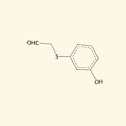 O=[C]CSc1cccc(O)c1